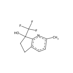 Cc1ccc2c(n1)C(O)(C(F)(F)F)CC2